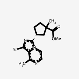 COC(=O)C1(C)CC[C@@H](c2nc(Br)c3c(N)nccn23)C1